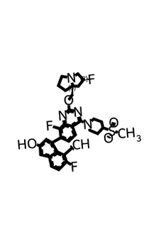 C#Cc1c(F)ccc2cc(O)cc(-c3ccc4c(N5CCC(S(C)(=O)=O)CC5)nc(OC[C@@]56CCCN5C[C@H](F)C6)nc4c3F)c12